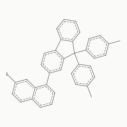 Cc1ccc(C2(c3ccc(C)cc3)c3ccccc3-c3ccc(-c4cccc5ccc(I)cc45)cc32)cc1